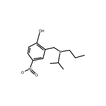 CCCN(Cc1cc([N+](=O)[O-])ccc1O)C(C)C